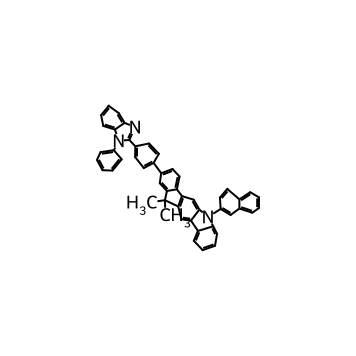 CC1(C)c2cc(-c3ccc(-c4nc5ccccc5n4-c4ccccc4)cc3)ccc2-c2cc3c(cc21)c1ccccc1n3-c1ccc2ccccc2c1